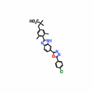 Cc1cc(CC(C)(C)C(=O)O)cc(C)c1-c1nc2ccc(-c3nnc(-c4ccc(Cl)cc4)o3)cc2[nH]1